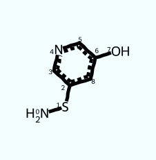 NSc1cncc(O)c1